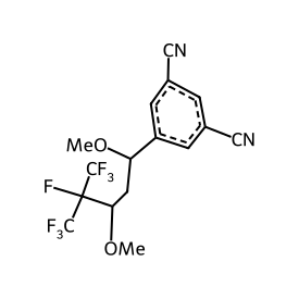 COC(CC(OC)C(F)(C(F)(F)F)C(F)(F)F)c1cc(C#N)cc(C#N)c1